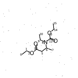 CCOC(=O)CC(C)N(CC)C(=O)OCC